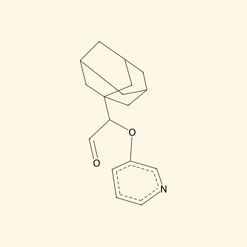 O=CC(Oc1cccnc1)C12CC3CC(CC(C3)C1)C2